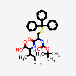 CCC(C)C(NC(=O)C(CSC(c1ccccc1)(c1ccccc1)c1ccccc1)NC(=O)OC(C)(C)C)C(=O)O